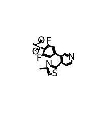 Cc1csc(-c2ccncc2-c2cc(F)c(S(C)(=O)=O)c(F)c2)n1